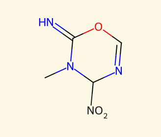 CN1C(=N)OC=NC1[N+](=O)[O-]